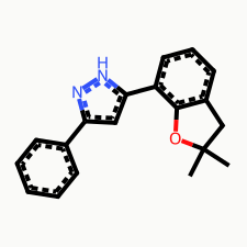 CC1(C)Cc2cccc(-c3cc(-c4ccccc4)n[nH]3)c2O1